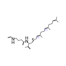 C=CNCCCC(=C)NC(CSC/C=C(\C)CC/C=C(\C)CCC=C(C)C)C(=C)C